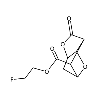 O=C(OCCF)C1C2CC3OC(=O)C1C3O2